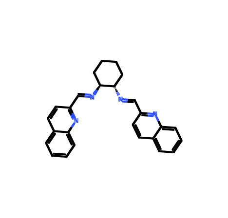 C(=N[C@H]1CCCC[C@@H]1N=Cc1ccc2ccccc2n1)c1ccc2ccccc2n1